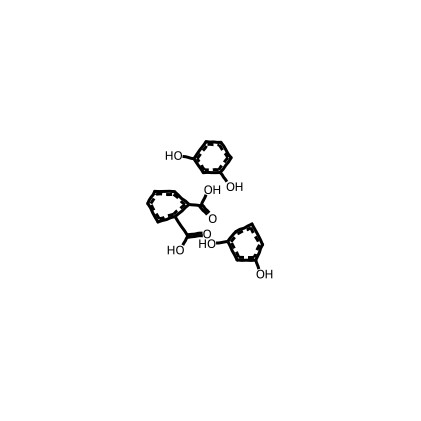 O=C(O)c1ccccc1C(=O)O.Oc1cccc(O)c1.Oc1cccc(O)c1